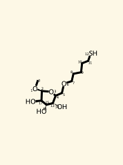 CO[C@H]1OC(COCCCCCS)[C@H](O)[C@H](O)C1O